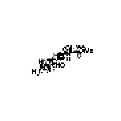 COC(=O)CC[C@H](NC(=O)c1ccc(NCC2CNc3[nH]c(N)nc(=O)c3N2C=O)cc1)C(=O)OC